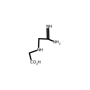 N=C(N)CNCC(=O)O